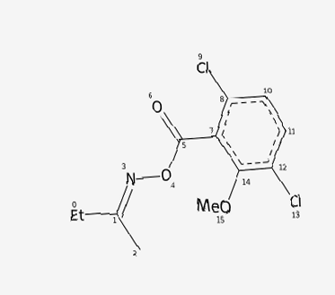 CCC(C)=NOC(=O)c1c(Cl)ccc(Cl)c1OC